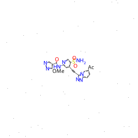 COc1ncncc1C(=O)Nc1cc(C#Cc2nnc3ccc(C(C)=O)cn23)c(S(N)(=O)=O)cn1